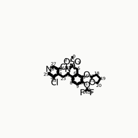 CS(=O)(=O)N1Cc2c(ccc(OC(F)F)c2OC2CCCO2)C(Cc2c(Cl)cncc2Cl)=N1